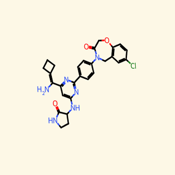 NC(=C1CCC1)c1cc(NC2CCNC2=O)nc(-c2ccc(N3Cc4cc(Cl)ccc4OCC3=O)cc2)n1